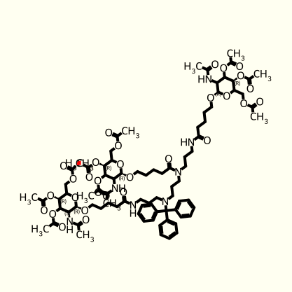 CC(=O)NC1C(OC(C)=O)[C@@H](OC(C)=O)C(COC(C)=O)O[C@H]1OCCCCC(=O)NCCCN(CCCN(CCCNC(=O)CCCCO[C@@H]1OC(COC(C)=O)[C@H](OC(C)=O)C(OC(C)=O)[C@@H]1NC(C)=O)C(c1ccccc1)(c1ccccc1)c1ccccc1)C(=O)CCCCO[C@@H]1OC(COC(C)=O)[C@H](OC(C)=O)C(OC(C)=O)C1NC(C)=O